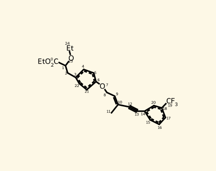 CCOC(=O)C(Cc1ccc(OC/C=C(\C)C#Cc2cccc(C(F)(F)F)c2)cc1)OCC